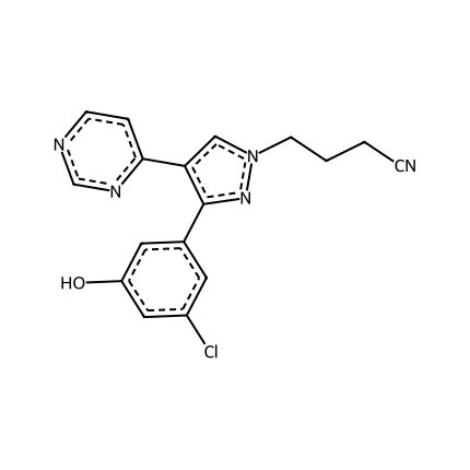 N#CCCCn1cc(-c2ccncn2)c(-c2cc(O)cc(Cl)c2)n1